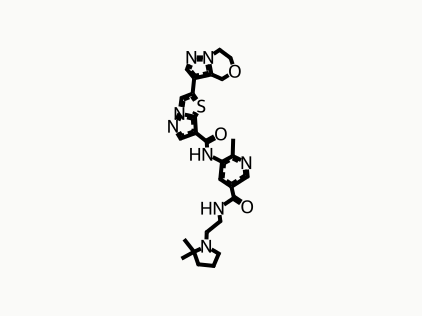 Cc1ncc(C(=O)NCCN2CCCC2(C)C)cc1NC(=O)c1cnn2cc(-c3cnn4c3COCC4)sc12